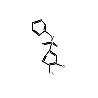 Cc1ccc(S(=O)(=O)Nc2c[c]ccc2)cc1Cl